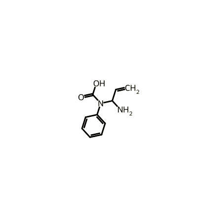 C=CC(N)N(C(=O)O)c1ccccc1